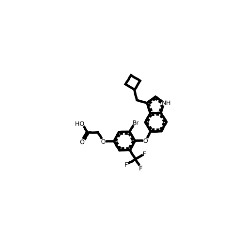 O=C(O)COc1cc(Br)c(Oc2ccc3[nH]cc(CC4CCC4)c3c2)c(C(F)(F)F)c1